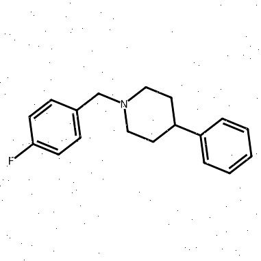 Fc1ccc(CN2CCC(c3ccccc3)CC2)cc1